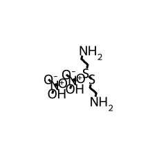 NCCSSCCN.O=[N+]([O-])O.O=[N+]([O-])O